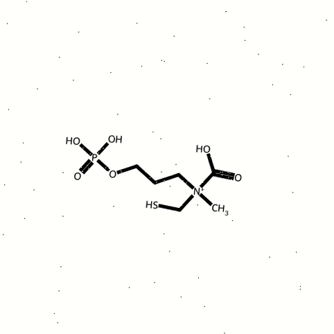 C[N+](CS)(CCCOP(=O)(O)O)C(=O)O